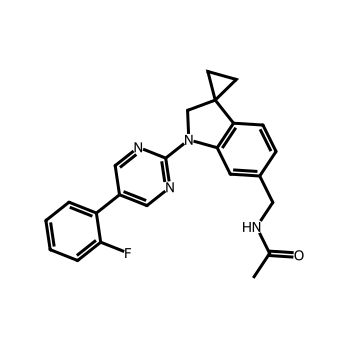 CC(=O)NCc1ccc2c(c1)N(c1ncc(-c3ccccc3F)cn1)CC21CC1